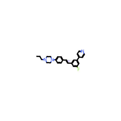 CCCN1CCN(c2ccc(/C=C/c3cc(F)cc(-c4ccncc4)c3)cc2)CC1